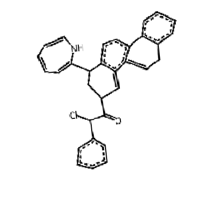 O=C(C1C=c2c(ccc3c2=CCc2ccccc2-3)C(C2=CC=CC=CN2)C1)C(Cl)c1ccccc1